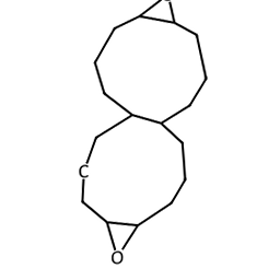 C1CC2CCCC3OC3CCCC2CCCC2OC2C1